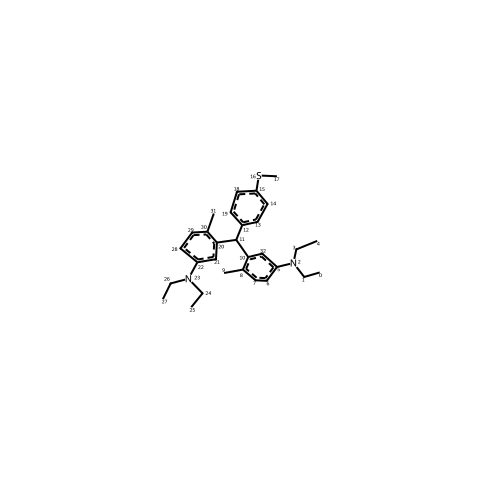 CCN(CC)c1ccc(C)c(C(c2ccc(SC)cc2)c2cc(N(CC)CC)ccc2C)c1